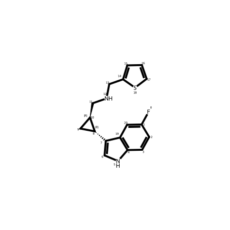 Fc1ccc2[nH]cc([C@@H]3C[C@H]3CNCc3cccs3)c2c1